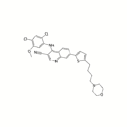 COc1cc(Nc2c(C#N)cnc3cc(-c4ccc(CCCCN5CCOCC5)s4)ccc23)c(Cl)cc1Cl